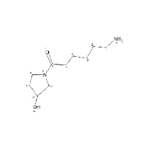 NCCCCCC(=O)N1CCC(O)C1